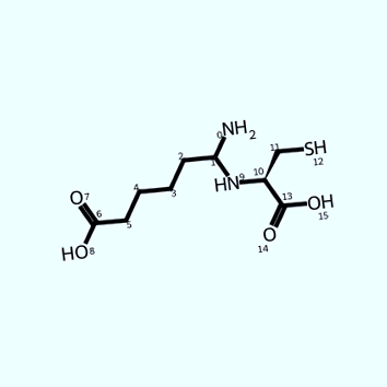 NC(CCCCC(=O)O)N[C@@H](CS)C(=O)O